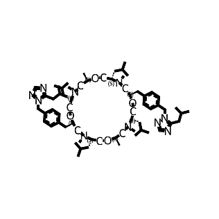 CC(C)Cc1ncnn1Cc1ccc(C[C@@H]2CN(C)[C@@H](CC(C)C)CO[C@H](C)CN(C)[C@@H](CC(C)C)CO[C@H](Cc3ccc(Cn4ncnc4CC(C)C)cc3)CN(C)[C@@H](CC(C)C)CO[C@H](C)CN(C)[C@@H](CC(C)C)CO2)cc1